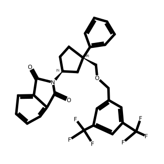 O=C1c2ccccc2C(=O)N1[C@H]1CC[C@](COCc2cc(C(F)(F)F)cc(C(F)(F)F)c2)(c2ccccc2)C1